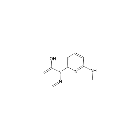 C=NN(C(=C)O)c1cccc(NC)n1